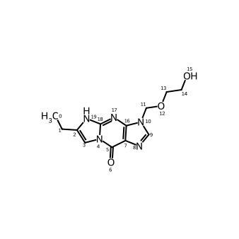 CCc1cn2c(=O)c3ncn(COCCO)c3nc2[nH]1